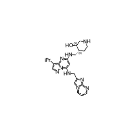 CC(C)c1cnn2c(NCc3cn4cccnc4n3)cc(NC[C@H]3CCNC[C@@H]3O)nc12